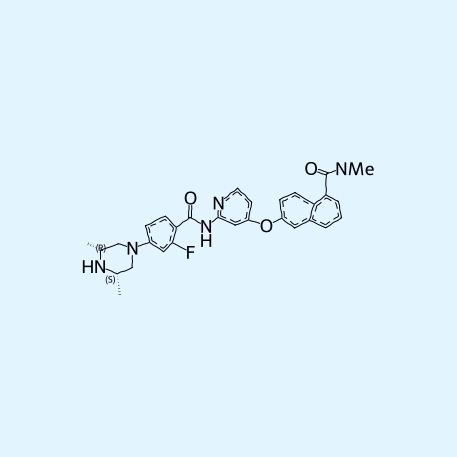 CNC(=O)c1cccc2cc(Oc3ccnc(NC(=O)c4ccc(N5C[C@@H](C)N[C@@H](C)C5)cc4F)c3)ccc12